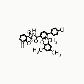 Cc1cc(C)c(Oc2nc(-c3ccc(Cl)cc3)ccc2C(=O)NS(=O)(=O)c2ccc[nH]c2=O)c(C)c1